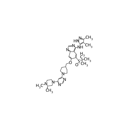 Cc1n[nH]c(Nc2ncnc3cc(OCC4CCN(c5cc(N6CCN(C)[C@H](C)C6)ncn5)CC4)c([S+]([O-])C(C)(C)C)cc23)c1C